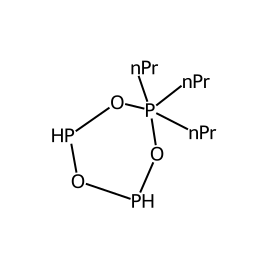 CCCP1(CCC)(CCC)OPOPO1